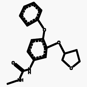 CNC(=O)Nc1ccc(Oc2ccccc2)c(OC2CCOC2)c1